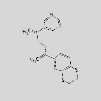 C=C(CCC(=C)c1ccc2c(c1)SCCS2)c1cccnc1